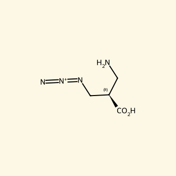 [N-]=[N+]=NC[C@@H](CN)C(=O)O